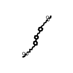 C=CC(=O)OCCCCCCc1ccc(-c2ccc(CCc3ccc(CCCCCOC(=O)C=C)cc3)cc2)cc1